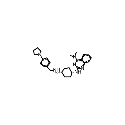 CN(C)c1nc(N[C@H]2CC[C@@H](CNCc3ccc(N4CCCC4)cc3)CC2)nc2ccccc12